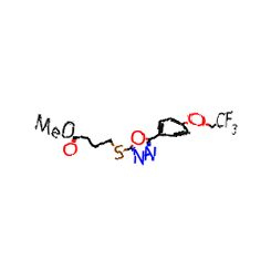 COC(=O)CCCSc1nnc(-c2ccc(OCC(F)(F)F)cc2)o1